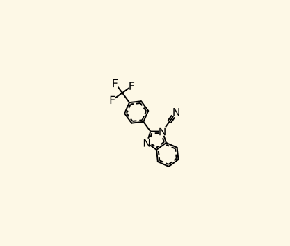 N#Cn1c(-c2ccc(C(F)(F)F)cc2)nc2ccccc21